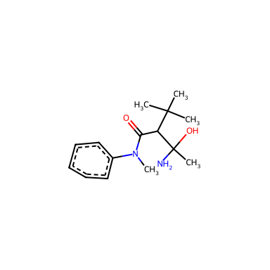 CN(C(=O)C(C(C)(C)C)C(C)(N)O)c1ccccc1